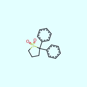 O=S1(=O)CCCC1(c1ccccc1)c1ccccc1